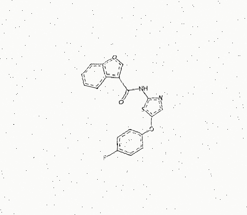 O=C(Nc1ncc(Oc2ccc(F)cc2)s1)c1coc2ccccc12